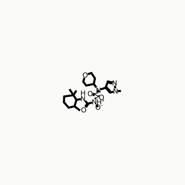 CC1CCCC(C)(C)C1NC(=O)[NH+]([O-])S(=O)(=O)N(c1cnn(C)c1)C1CCOCC1